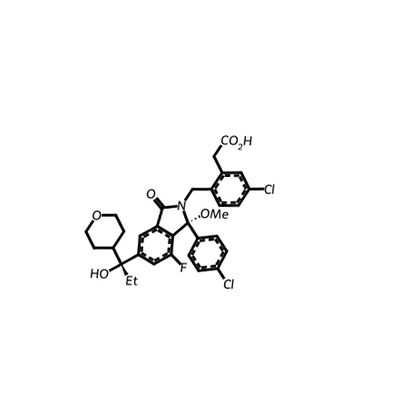 CC[C@](O)(c1cc(F)c2c(c1)C(=O)N(Cc1ccc(Cl)cc1CC(=O)O)[C@@]2(OC)c1ccc(Cl)cc1)C1CCOCC1